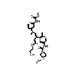 COC[C@H]1CCN(C(=O)Nc2cnc(C)c(C(/C=C(\C)OCCO)=C/C(C)c3ccnc(NC(=O)OC)c3)c2)C1